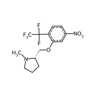 CN1CCC[C@H]1COc1cc([N+](=O)[O-])ccc1C(F)(F)C(F)(F)F